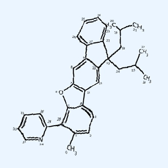 Cc1ccc2c(oc3cc4c(cc32)C(CC(C)C)(CC(C)C)c2ccccc2-4)c1-c1ccccn1